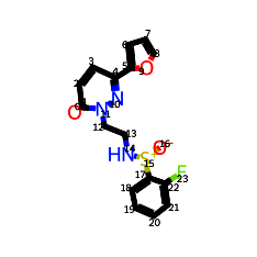 O=c1ccc(-c2ccco2)nn1CCN[S+]([O-])c1ccccc1F